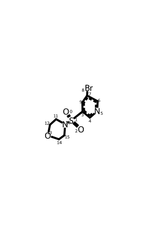 O=S(=O)(c1cncc(Br)c1)N1CCOCC1